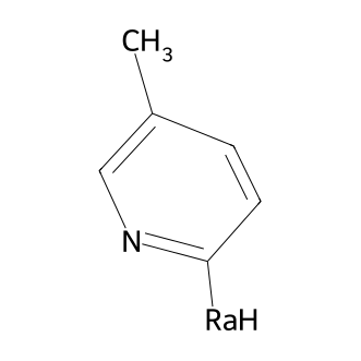 Cc1cc[c]([RaH])nc1